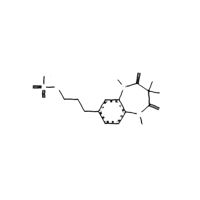 CCN1C(=O)C(C)(C)C(=O)N(C)c2cc(CCCOS(C)(=O)=O)ccc21